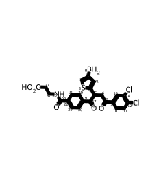 Bc1csc(C(CC(=O)c2ccc(Cl)c(Cl)c2)C(=O)c2ccc(C(=O)NCCC(=O)O)cc2)c1